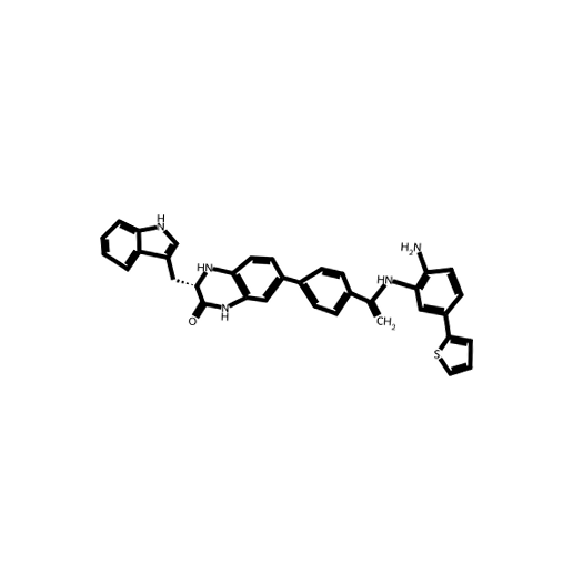 C=C(Nc1cc(-c2cccs2)ccc1N)c1ccc(-c2ccc3c(c2)NC(=O)[C@H](Cc2c[nH]c4ccccc24)N3)cc1